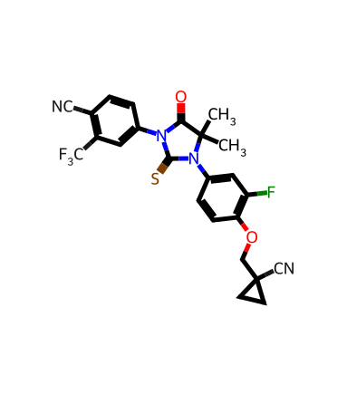 CC1(C)C(=O)N(c2ccc(C#N)c(C(F)(F)F)c2)C(=S)N1c1ccc(OCC2(C#N)CC2)c(F)c1